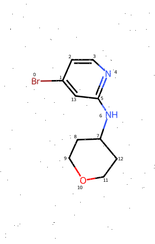 Brc1ccnc(NC2CCOCC2)c1